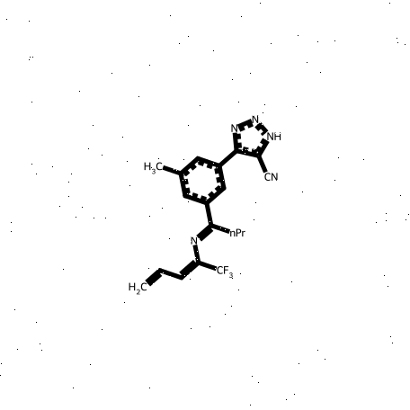 C=C/C=C(\N=C(/CCC)c1cc(C)cc(-c2nn[nH]c2C#N)c1)C(F)(F)F